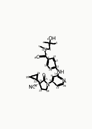 CN(CC(C)(C)O)C(=O)c1ccc(Nc2cc(N3CC[C@@](C#N)(C4CC4)C3=O)ccn2)nc1